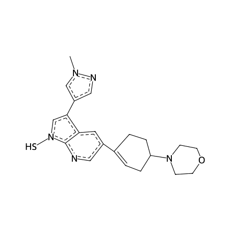 Cn1cc(-c2cn(S)c3ncc(C4=CCC(N5CCOCC5)CC4)cc23)cn1